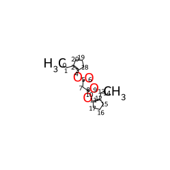 CCC1=C(OC(=O)CC(=O)OC2=C(CC)CCC2)CCC1